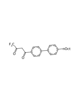 CCCCCCCCc1ccc(-c2ccc(C(=O)CC(=O)C(F)(F)F)cc2)cc1